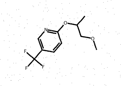 COCC(C)Oc1ccc(C(F)(F)F)cn1